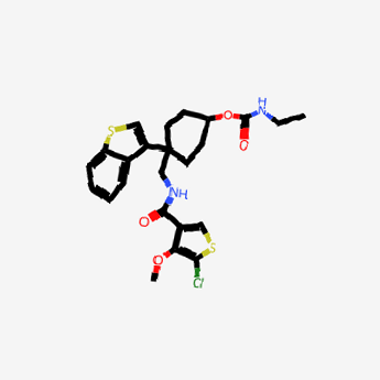 CCNC(=O)OC1CCC(CNC(=O)c2csc(Cl)c2OC)(c2csc3ccccc23)CC1